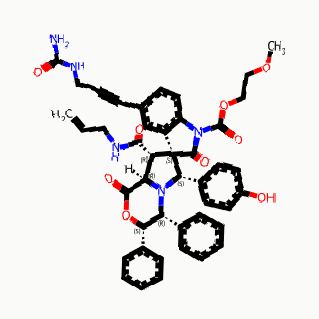 C=CCNC(=O)[C@H]1[C@@H]2C(=O)O[C@@H](c3ccccc3)[C@@H](c3ccccc3)N2[C@@H](c2ccc(O)cc2)[C@]12C(=O)N(C(=O)OCCOC)c1ccc(C#CCNC(N)=O)cc12